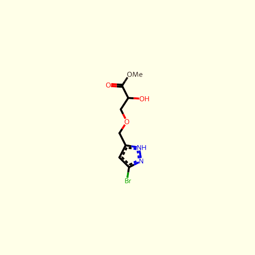 COC(=O)C(O)COCc1cc(Br)n[nH]1